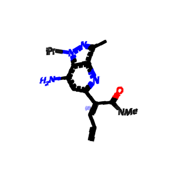 C=C/C=C(\C(=O)NC)c1cc(N)c2c(n1)c(C)nn2C(C)C